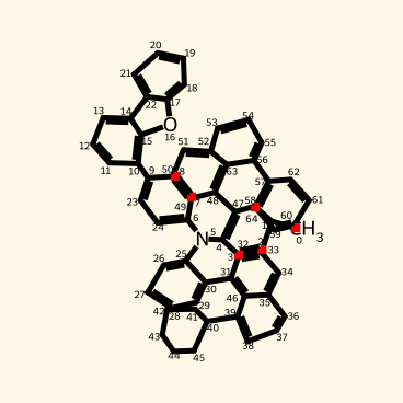 CC1C=CC(N(c2ccc(-c3cccc4c3oc3ccccc34)cc2)c2ccccc2-c2cccc3cccc(C4CCCCC4)c23)=C(c2cccc3cccc(-c4ccccc4)c23)C1